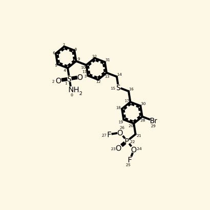 NS(=O)(=O)c1ccccc1-c1ccc(CSCc2ccc(CP(=O)(OF)OF)c(Br)c2)cc1